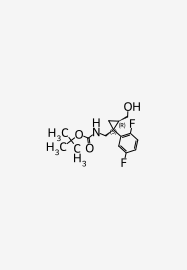 CC(C)(C)OC(=O)NC[C@@]1(c2cc(F)ccc2F)C[C@H]1CO